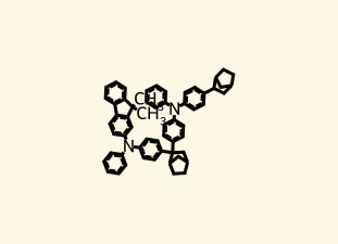 CC1(C)c2ccccc2-c2ccc(N(c3ccccc3)c3ccc(C4(c5ccc(N(c6ccccc6)c6ccc(C7CC8CCC7C8)cc6)cc5)CC5CCC4C5)cc3)cc21